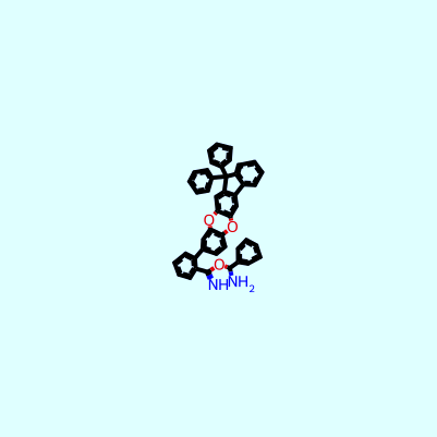 N=C(OC(N)c1ccccc1)c1ccccc1-c1ccc2c(c1)Oc1cc3c(cc1O2)-c1ccccc1C3(c1ccccc1)c1ccccc1